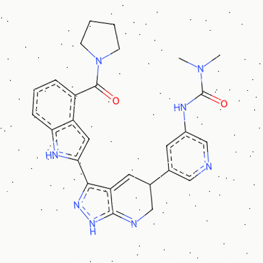 CN(C)C(=O)Nc1cncc(C2C=c3c(-c4cc5c(C(=O)N6CCCC6)cccc5[nH]4)n[nH]c3=NC2)c1